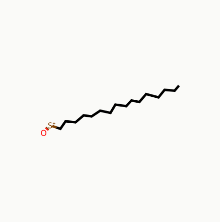 CCCCCCCCCCCCCCCC[S+]=O